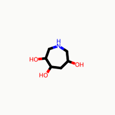 OC1CNCC(O)C(O)C1